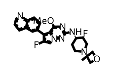 COc1nc(N[C@H]2CCN(C3(C)COC3)C[C@H]2F)nn2cc(F)c(-c3ccc4ncccc4c3)c12